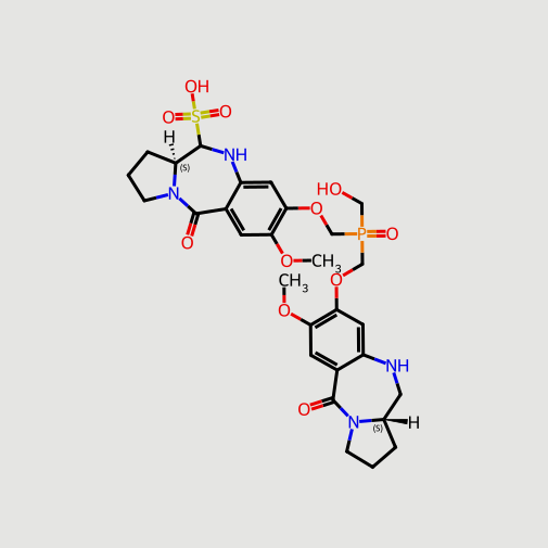 COc1cc2c(cc1OCP(=O)(CO)COc1cc3c(cc1OC)C(=O)N1CCC[C@H]1C(S(=O)(=O)O)N3)NC[C@@H]1CCCN1C2=O